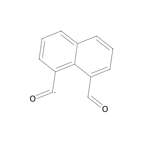 O=[C]c1cccc2cccc(C=O)c12